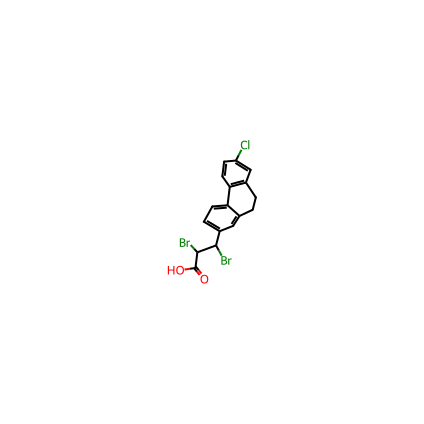 O=C(O)C(Br)C(Br)c1ccc2c(c1)CCc1cc(Cl)ccc1-2